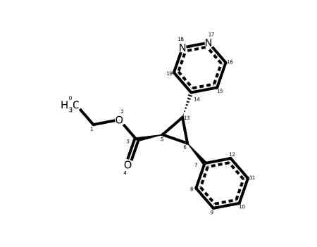 CCOC(=O)[C@@H]1[C@H](c2ccccc2)[C@H]1c1ccnnc1